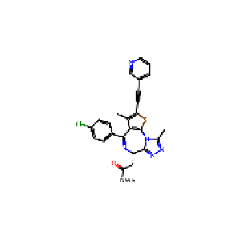 CNC(=O)C[C@@H]1N=C(c2ccc(Cl)cc2)c2c(sc(C#Cc3cccnc3)c2C)-n2c(C)nnc21